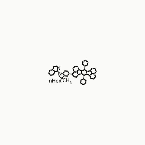 CCCCCCC1(C)CN(c2nccc3ccccc23)c2ccc(-c3ccc4c5c(-c6ccccc6)c6c7cccc8cccc(c6c(-c6ccccc6)c5c5cccc3c54)c87)cc21